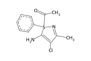 CC(=O)S1(c2ccccc2)N=C(C)C(Cl)=C1N